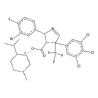 CC1CCC(C(C)C)[C@H](OC(=O)C2C(c3ccc(F)c(Br)c3)N=CC2(c2cc(Cl)c(Cl)c(Cl)c2)C(F)(F)F)C1